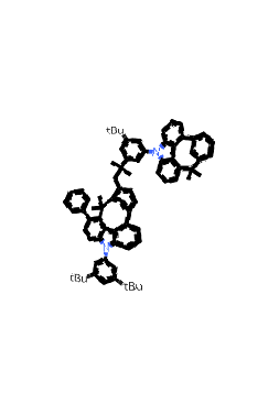 CC(C)(C)c1cc(-n2c3cccc4c3c3c(c(-c5ccccc5)ccc32)C(C)(C)c2cc-4ccc2CC(C)(C)c2cc(-n3c4cccc5c4c4c(cccc43)C(C)(C)c3cccc-5c3)cc(C(C)(C)C)c2)cc(C(C)(C)C)c1